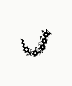 CCCCCC1CCC(C(F)(F)Oc2ccc(C(F)(F)Oc3ccc(-c4ccc(-c5cc(F)c(F)c(F)c5)c(F)c4)c(F)c3)c(F)c2)CC1